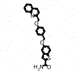 NC(=O)c1cc2cc(OCc3ccc(OCc4ccc5ccccc5n4)cc3)ccc2s1